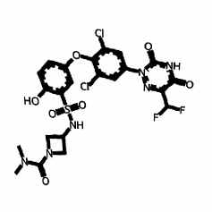 CN(C)C(=O)N1CC(NS(=O)(=O)c2cc(Oc3c(Cl)cc(-n4nc(C(F)F)c(=O)[nH]c4=O)cc3Cl)ccc2O)C1